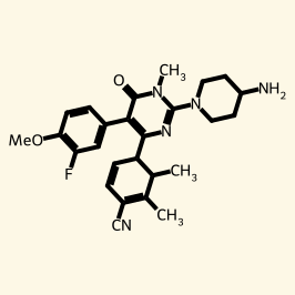 COc1ccc(-c2c(C3C=CC(C#N)=C(C)C3C)nc(N3CCC(N)CC3)n(C)c2=O)cc1F